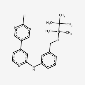 CC(C)(C)[Si](C)(C)OCc1cccc(Nc2cc(-c3cnc(Cl)nc3)ccn2)c1